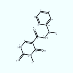 CC(NC(=O)c1c[nH]c(=O)n(C)c1=O)c1ccccc1